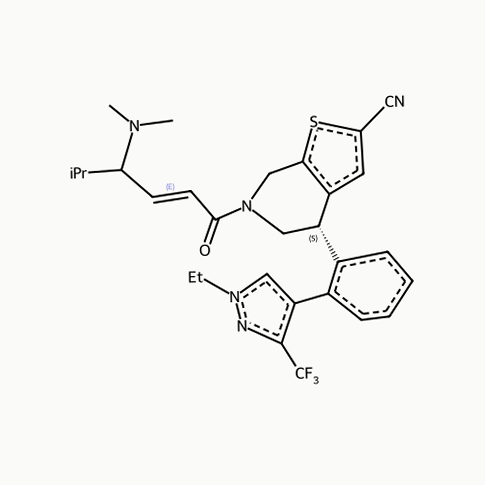 CCn1cc(-c2ccccc2[C@@H]2CN(C(=O)/C=C/C(C(C)C)N(C)C)Cc3sc(C#N)cc32)c(C(F)(F)F)n1